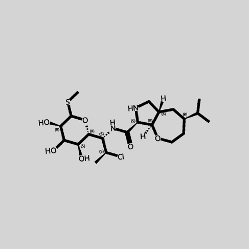 CSC1O[C@H]([C@H](NC(=O)[C@H]2NC[C@@H]3C[C@@H](C(C)C)CCO[C@H]32)[C@H](C)Cl)[C@@H](O)C(O)[C@H]1O